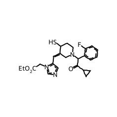 CCOC(=O)Cn1cncc1C=C1CN(C(C(=O)C2CC2)c2ccccc2F)CCC1S